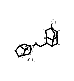 CC1(C)C2CC[C@]1(C)CN(CCC1C3CC4CC1CC(O)(C4)C3)C2